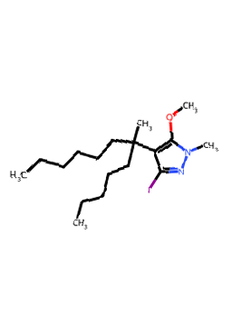 CCCCCCC(C)(CCCCC)c1c(I)nn(C)c1OC